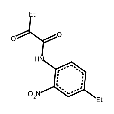 CCC(=O)C(=O)Nc1ccc(CC)cc1[N+](=O)[O-]